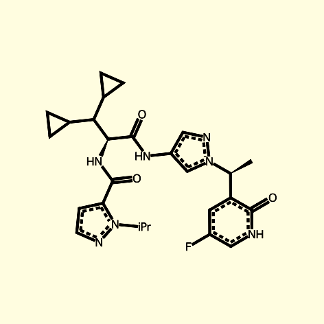 CC(C)n1nccc1C(=O)N[C@H](C(=O)Nc1cnn([C@@H](C)c2cc(F)c[nH]c2=O)c1)C(C1CC1)C1CC1